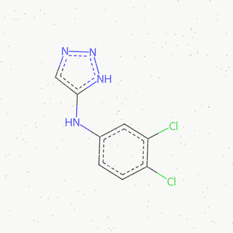 Clc1ccc(Nc2cnn[nH]2)cc1Cl